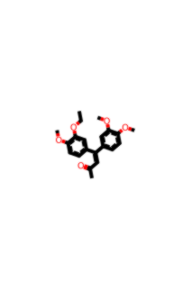 CCOc1cc(/C(=C\C(C)=O)c2ccc(OC)c(OC)c2)ccc1OC